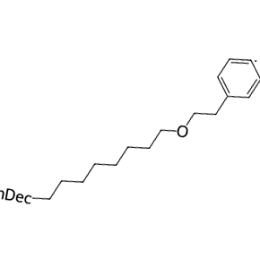 CCCCCCCCCCCCCCCCCCOCCc1cc[c]cc1